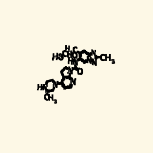 Cc1nc2cc(C)c(NC(=O)N3CCc4c(N5CCN[C@@H](C)C5)ccnc43)cn2n1.O=CO